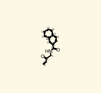 C=CC(=O)CNC(=O)c1ccc2ccccc2c1